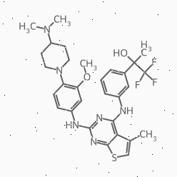 COc1cc(Nc2nc(Nc3cccc(C(C)(O)C(F)(F)F)c3)c3c(C)csc3n2)ccc1N1CCC(N(C)C)CC1